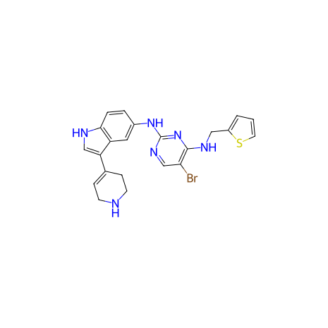 Brc1cnc(Nc2ccc3[nH]cc(C4=CCNCC4)c3c2)nc1NCc1cccs1